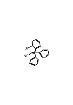 N#CC=P(c1ccccc1)(c1ccccc1)c1ccccc1Br